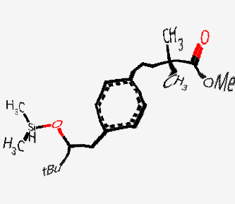 COC(=O)C(C)(C)Cc1ccc(CC(O[SiH](C)C)C(C)(C)C)cc1